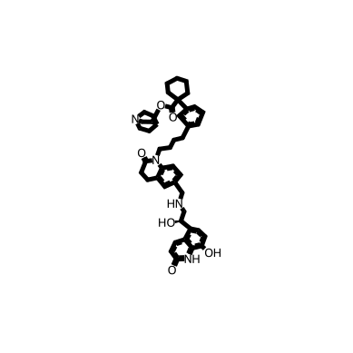 O=C1CCc2cc(CNC[C@H](O)c3ccc(O)c4[nH]c(=O)ccc34)ccc2N1CCCCc1cccc(C2(C(=O)OC3CN4CCC3CC4)CCCCC2)c1